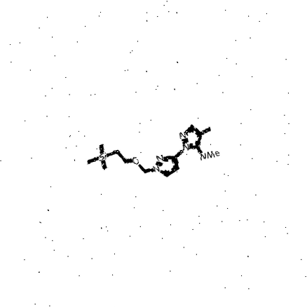 CNc1c(C)cnn1-c1ccn(COCC[Si](C)(C)C)n1